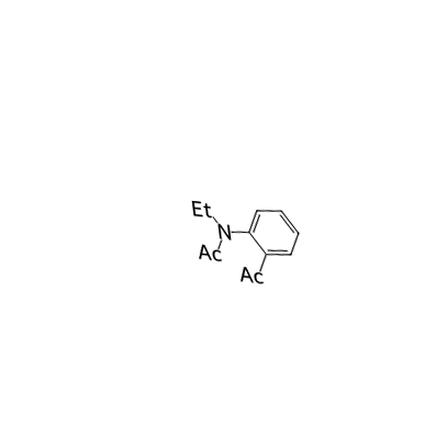 CCN(C(C)=O)c1ccccc1C(C)=O